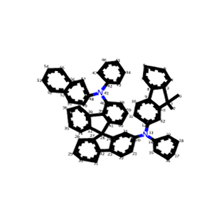 CC1(C)c2ccccc2-c2ccc(N(c3ccccc3)c3ccc4c(c3)C3(c5ccccc5-4)c4ccccc4-c4c(N(c5ccccc5)c5ccc6ccccc6c5)cccc43)cc21